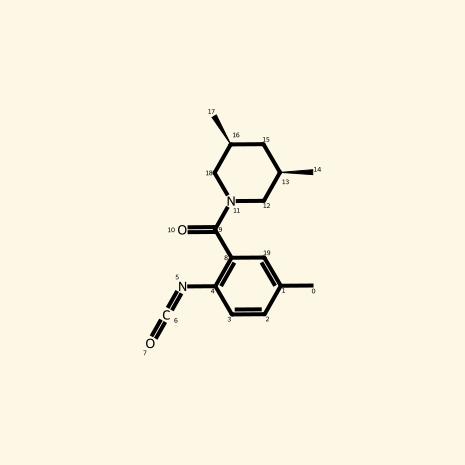 Cc1ccc(N=C=O)c(C(=O)N2C[C@H](C)C[C@H](C)C2)c1